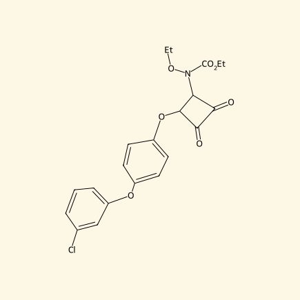 CCOC(=O)N(OCC)C1C(=O)C(=O)C1Oc1ccc(Oc2cccc(Cl)c2)cc1